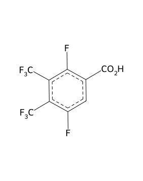 O=C(O)c1cc(F)c(C(F)(F)F)c(C(F)(F)F)c1F